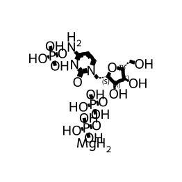 Nc1ccn(C[C@@H]2O[C@H](CO)[C@@H](O)[C@H]2O)c(=O)n1.O=P(O)(O)O.O=P(O)(O)O.O=P(O)(O)O.[MgH2]